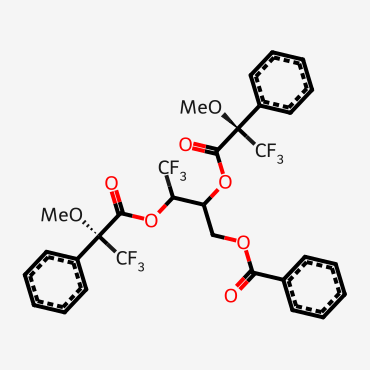 CO[C@@](C(=O)OC(COC(=O)c1ccccc1)C(OC(=O)[C@](OC)(c1ccccc1)C(F)(F)F)C(F)(F)F)(c1ccccc1)C(F)(F)F